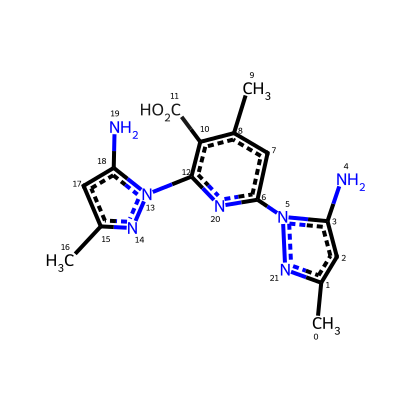 Cc1cc(N)n(-c2cc(C)c(C(=O)O)c(-n3nc(C)cc3N)n2)n1